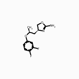 C[C@@H](C[C@H]1COC(N)=N1)Oc1ccc(F)c(F)c1